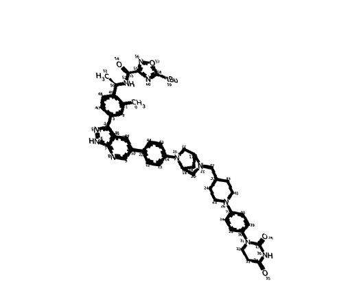 Cc1cc(-c2n[nH]c3ncc(-c4ccc(N5CC6CC5CN6CC5CCN(c6ccc(N7CCC(=O)NC7=O)cc6)CC5)cc4)cc23)ccc1[C@@H](C)NC(=O)c1noc(C(C)(C)C)n1